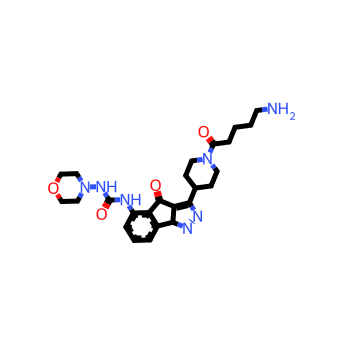 NCCCCC(=O)N1CCC(C2=C3C(=O)c4c(NC(=O)NN5CCOCC5)cccc4C3N=N2)CC1